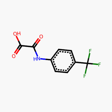 O=C(O)C(=O)Nc1ccc(C(F)(F)F)cc1